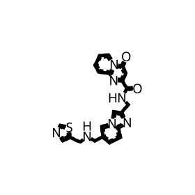 O=C(NCc1cn2cc(CNCc3cncs3)ccc2n1)c1cc(=O)n2ccccc2n1